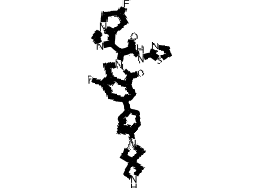 O=C(Nc1nccs1)C(c1ncn2c1CC(F)C2)N1Cc2c(F)cc(-c3ccc(N4CC5(CNC5)C4)cc3)cc2C1=O